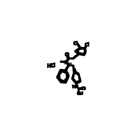 CN(C(=O)Cc1ccc(Cl)c(Cl)c1)[C@H](CN1CCC(NC(=O)O)C1)c1ccccc1.Cl